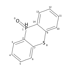 O=[PH]1c2ccccc2Sc2ccccc21